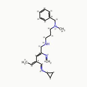 C=N\C(=C/C(/C=N/C1CC1)=C\C)CNCCCN(C)Cc1ccccc1